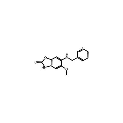 COc1cc2[nH]c(=O)oc2cc1NCc1cccnc1